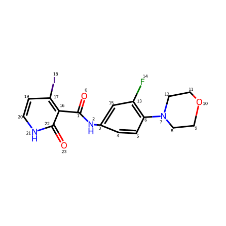 O=C(Nc1ccc(N2CCOCC2)c(F)c1)c1c(I)cc[nH]c1=O